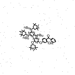 CCCCN(c1nc(Oc2ccc(C(=O)c3ccccc3)c(O)c2)nc(OC2CC(C)(C)N(C)C(C)(C)C2)n1)c1nc(N(CCCC)C2CC(C)(C)N(C)C(C)(C)C2)nc(N(CCCC)C2CC(C)(C)N(C)C(C)(C)C2)n1